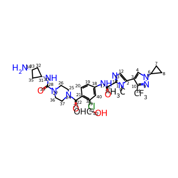 Cn1c(-c2cn(C3CC3)nc2C(F)(F)F)cnc1C(=O)Nc1ccc(C(=O)N2CCN(C(=O)N[C@H]3C[C@@H](N)C3)CC2)c(Cl)c1.O=CO